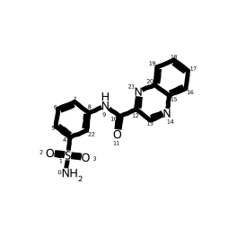 NS(=O)(=O)c1cccc(NC(=O)c2cnc3ccccc3n2)c1